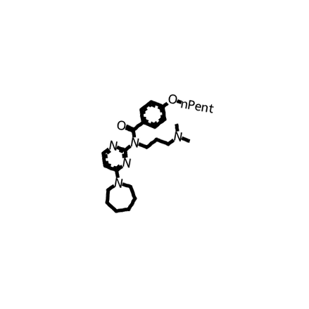 CCCCCOc1ccc(C(=O)N(CCCN(C)C)c2nccc(N3CCCCCC3)n2)cc1